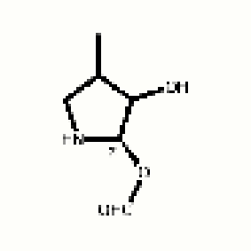 CC1CN[C@H](OC=O)C1O